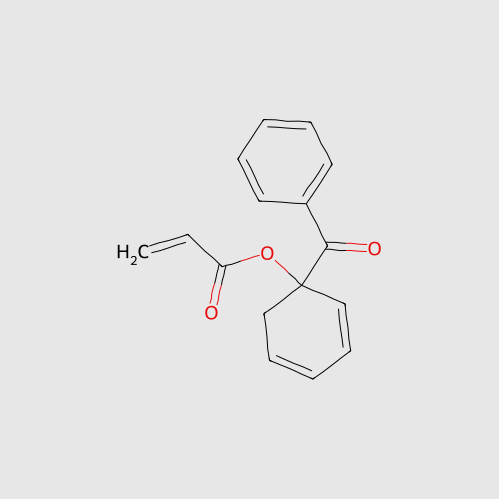 C=CC(=O)OC1(C(=O)c2ccccc2)C=CC=CC1